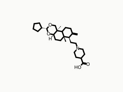 C=C1CCC2[C@]3(C)CO[C@@H](C4CCCC4)O[C@@H]3CC[C@@]2(C)[C@@H]1CCN1CCC(C(=O)O)CC1